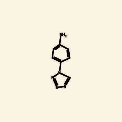 Nc1ccc(-n2cnnn2)cc1